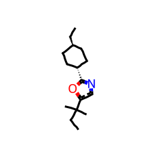 CCC(C)(C)c1cnc([C@H]2CC[C@H](CC)CC2)o1